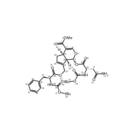 COC(=O)C1=CO[C@@H](OC(=O)[C@H](CC(N)=O)NC(=O)OC(C)(C)C)[C@@H]2C(COC(=O)[C@H](Cc3ccccc3)NC(=O)OC(C)(C)C)=CC[C@H]12